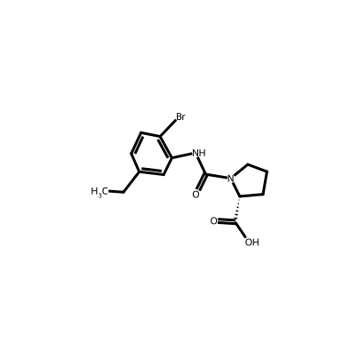 CCc1ccc(Br)c(NC(=O)N2CCC[C@@H]2C(=O)O)c1